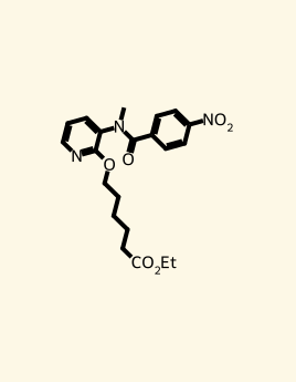 CCOC(=O)CCCCCOc1ncccc1N(C)C(=O)c1ccc([N+](=O)[O-])cc1